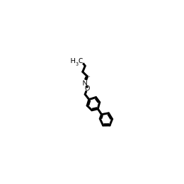 CCC/[C]=N/OCc1ccc(-c2ccccc2)cc1